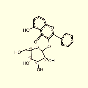 O=c1c(OC2O[C@H](CO)[C@@H](O)[C@H](O)[C@@H]2O)c(-c2ccccc2)oc2cccc(O)c12